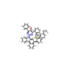 Cc1ccccc1-c1cccc(-c2nc(-n3c4ccccc4c4c5ccccc5c5c6ccccc6sc5c43)nc3c2oc2ccccc23)c1C